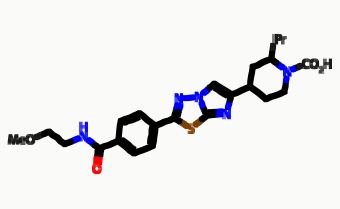 COCCNC(=O)c1ccc(-c2nn3cc(C4CCN(C(=O)O)C(C(C)C)C4)nc3s2)cc1